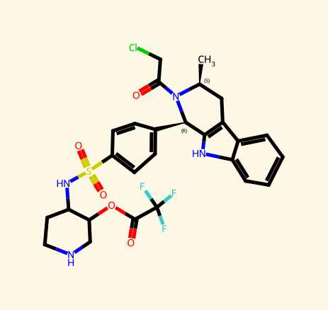 C[C@H]1Cc2c([nH]c3ccccc23)[C@@H](c2ccc(S(=O)(=O)NC3CCNCC3OC(=O)C(F)(F)F)cc2)N1C(=O)CCl